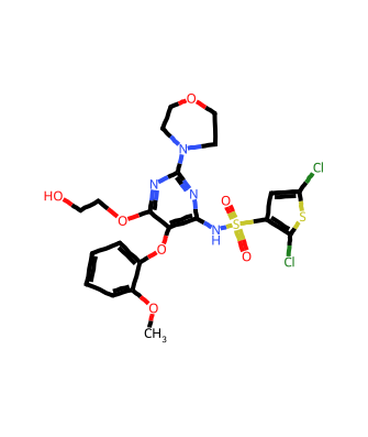 COc1ccccc1Oc1c(NS(=O)(=O)c2cc(Cl)sc2Cl)nc(N2CCOCC2)nc1OCCO